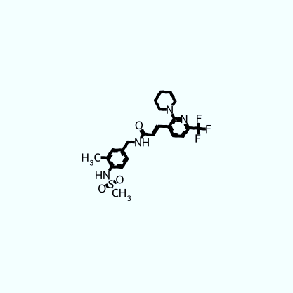 Cc1cc(CNC(=O)C=Cc2ccc(C(F)(F)F)nc2N2CCCCC2)ccc1NS(C)(=O)=O